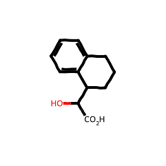 O=C(O)C(O)C1CCCc2ccccc21